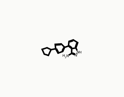 Nc1n[nH]c2cccc(-c3ccc(C4CCCC4)cc3)c12